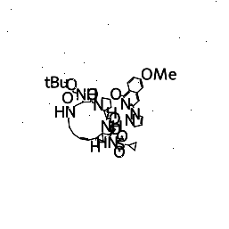 COc1ccc2c(OC3C[C@H]4C(=O)N[C@]5(C(=O)NS(=O)(=O)C6CC6)C[C@H]5/C=C\CCCNC[C@H](NC(=O)OC(C)(C)C)C(=O)N4C3)nc(-n3cccn3)cc2c1